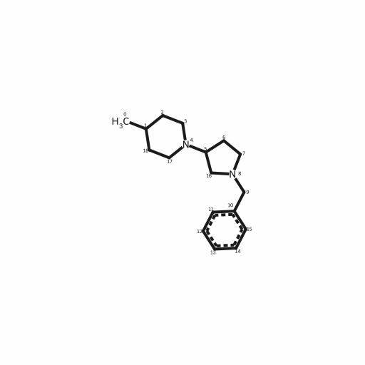 CC1CCN(C2CCN(Cc3ccccc3)C2)CC1